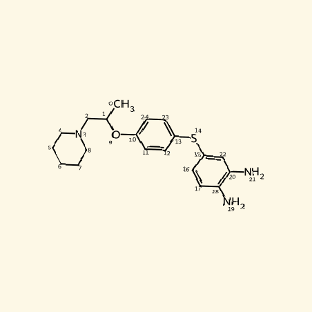 CC(CN1CCCCC1)Oc1ccc(Sc2ccc(N)c(N)c2)cc1